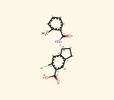 Cc1ccccc1C(=O)N[C@@H]1CCc2cc(C(=O)O)c(F)cc21